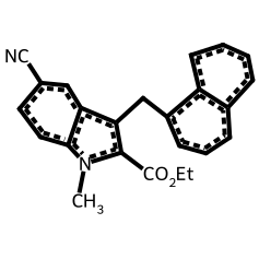 CCOC(=O)c1c(Cc2cccc3ccccc23)c2cc(C#N)ccc2n1C